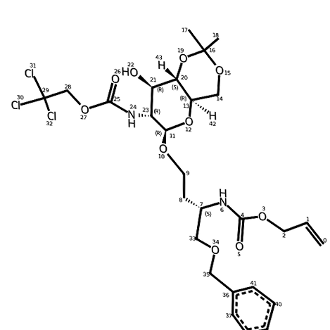 C=CCOC(=O)N[C@@H](CCO[C@@H]1O[C@@H]2COC(C)(C)O[C@H]2[C@H](O)[C@H]1NC(=O)OCC(Cl)(Cl)Cl)COCc1ccccc1